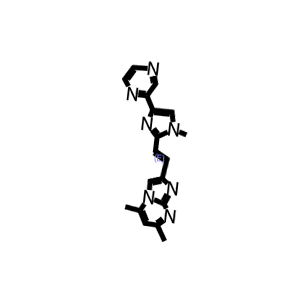 Cc1cc(C)n2cc(/C=C/c3nc(-c4cnccn4)cn3C)nc2n1